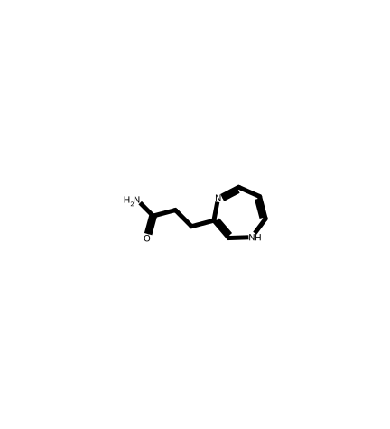 NC(=O)CCC1=CNC=CC=N1